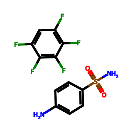 Fc1cc(F)c(F)c(F)c1F.Nc1ccc(S(N)(=O)=O)cc1